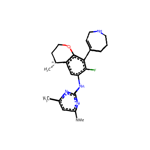 CNc1cc(C)nc(Nc2cc3c(c(C4=CCNCCC4)c2F)OCC[C@H]3C)n1